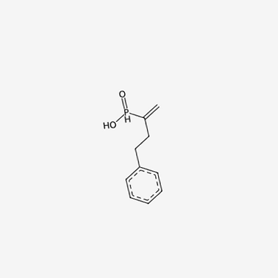 C=C(CCc1ccccc1)[PH](=O)O